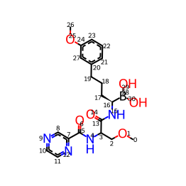 COCC(NC(=O)c1cnccn1)C(=O)N[C@@H](CCCc1cccc(OC)c1)B(O)O